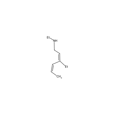 C/C=C\C(=C/CNCC)CC